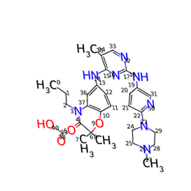 CCCN1C(=O)C(C)(C)Oc2ccc(Nc3nc(Nc4ccc(N5CCN(C)CC5)nc4)ncc3C)cc21.O=CO